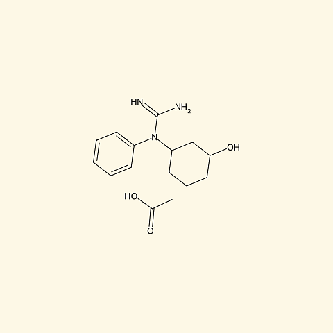 CC(=O)O.N=C(N)N(c1ccccc1)C1CCCC(O)C1